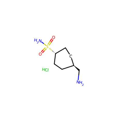 Cl.NC[C@H]1CC[C@H](S(N)(=O)=O)CC1